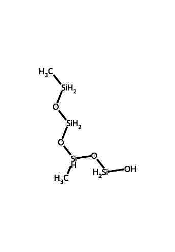 C[SiH2]O[SiH2]O[SiH](C)O[SiH2]O